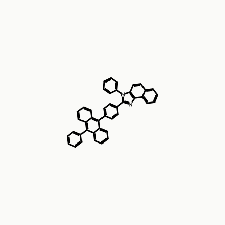 c1ccc(-c2c3ccccc3c(-c3ccc(-c4nc5c6ccccc6ccc5n4-c4ccccc4)cc3)c3ccccc23)cc1